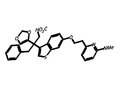 CNc1cccc(CCOc2ccc3c(C(CC(=O)O)(Cc4ccccc4)C4=COCO4)csc3c2)n1